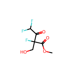 COC(=O)C(F)(CO)C(=O)C(F)F